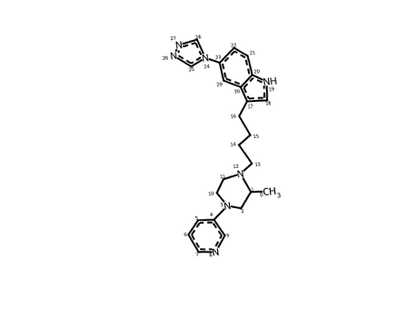 CC1CN(c2cccnc2)CCN1CCCCc1c[nH]c2ccc(-n3cnnc3)cc12